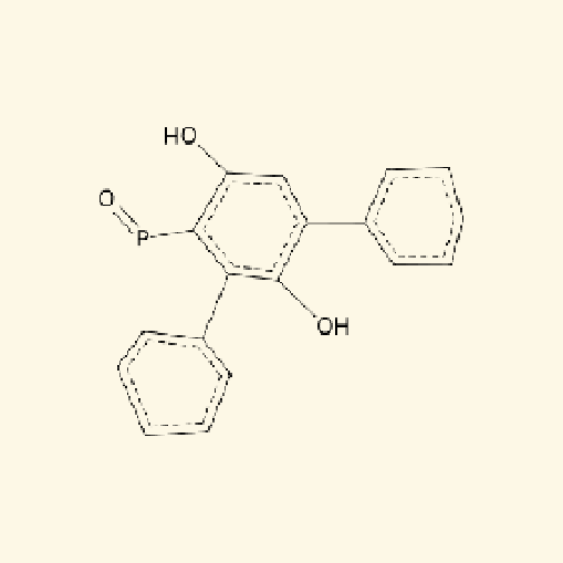 O=Pc1c(O)cc(-c2ccccc2)c(O)c1-c1ccccc1